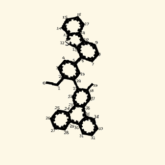 CCc1ccc(-c2cccc3c2sc2ccccc23)cc1-c1cc2c3ccccc3c3ccccc3c2cc1C